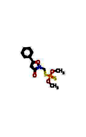 COP(=S)(OC)SCn1oc(-c2ccccc2)cc1=O